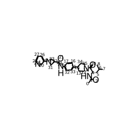 CC(=O)N[C@@H](CC(C)C)C(=O)N1CCC(c2ccc(NC(=O)C3CN(c4cccnc4)C3)cc2)CC1